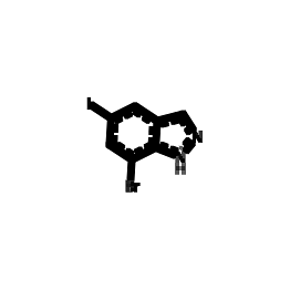 Brc1cc(I)cc2cn[nH]c12